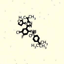 CC(C)c1nnc(-c2cc(Cl)c(F)cc2NS(=O)(=O)c2ccc(C(C)(C)C)cc2)n1C1CCOC1